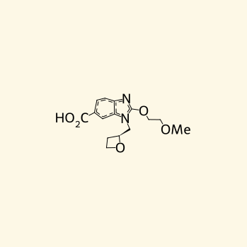 COCCOc1nc2ccc(C(=O)O)cc2n1C[C@@H]1CCO1